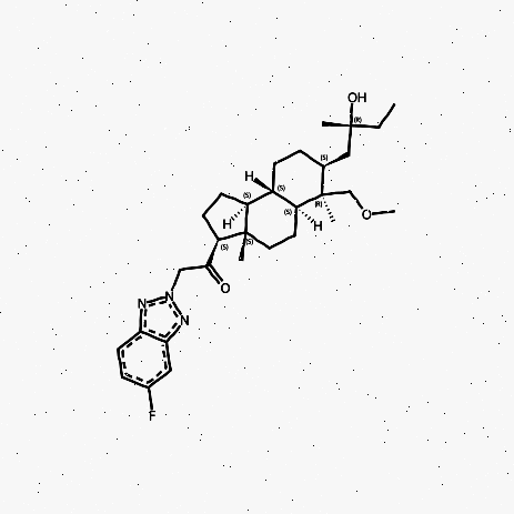 CC[C@@](C)(O)C[C@@H]1CC[C@@H]2[C@H](CC[C@]3(C)[C@@H](C(=O)Cn4nc5ccc(F)cc5n4)CC[C@@H]23)[C@]1(C)COC